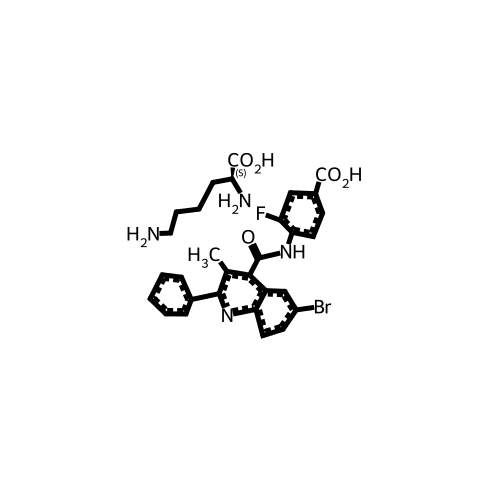 Cc1c(-c2ccccc2)nc2ccc(Br)cc2c1C(=O)Nc1ccc(C(=O)O)cc1F.NCCCC[C@H](N)C(=O)O